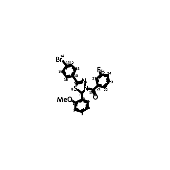 COc1ccccc1C1SC(c2ccc(Br)cc2)=NN1C(=O)c1cccc(F)c1